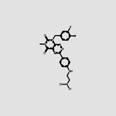 CCN(CC)CCNc1ccc(-c2nnc3c(n2)c(=O)n(C)c(=O)n3Cc2ccc(F)c(F)c2)cc1